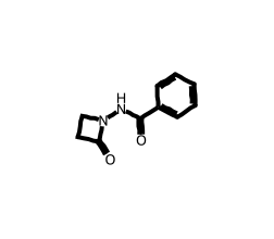 O=C(NN1CCC1=O)c1ccccc1